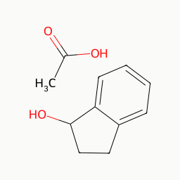 CC(=O)O.OC1CCc2ccccc21